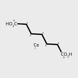 O=C(O)CCCCCC(=O)O.[Ce]